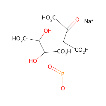 O=C(O)C(O)C(O)C(=O)O.O=C(O)CC(=O)C(=O)O.O=P[O-].[Na+]